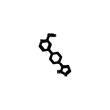 COc1cc(C2CCN(c3ccn[nH]3)CC2)ccn1